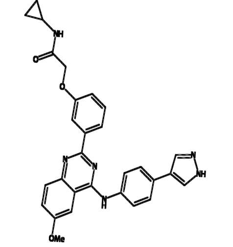 COc1ccc2nc(-c3cccc(OCC(=O)NC4CC4)c3)nc(Nc3ccc(-c4cn[nH]c4)cc3)c2c1